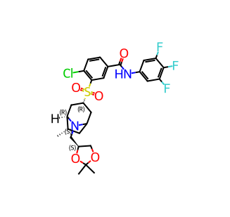 C[C@H]1CC2C[C@@H](S(=O)(=O)c3cc(C(=O)Nc4cc(F)c(F)c(F)c4)ccc3Cl)C[C@H]1N2C[C@H]1COC(C)(C)O1